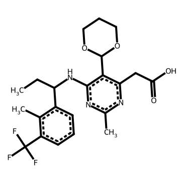 CCC(Nc1nc(C)nc(CC(=O)O)c1C1OCCCO1)c1cccc(C(F)(F)F)c1C